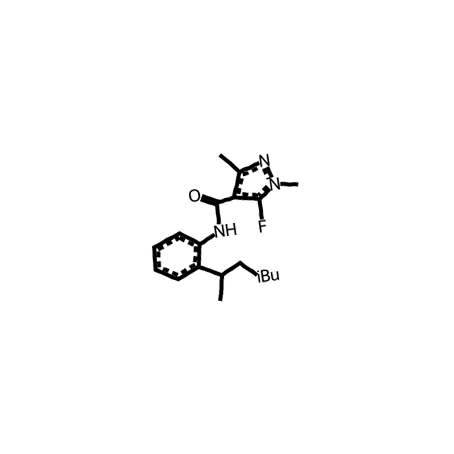 CCC(C)CC(C)c1ccccc1NC(=O)c1c(C)nn(C)c1F